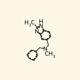 Cc1nc2cc(CN(C)Cc3ccccc3)ccc2[nH]1